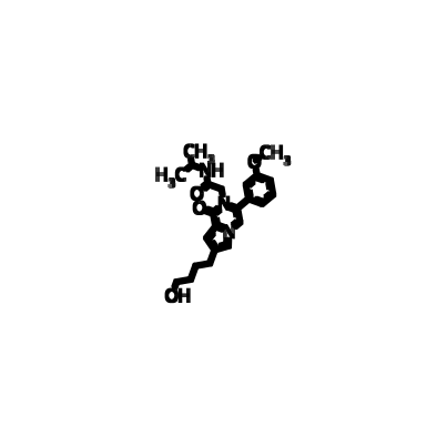 COc1cccc(-c2cn3cc(CCCCO)cc3c(=O)n2CC(=O)NC(C)C)c1